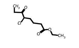 CCOC(=O)CCCC(Cl)C(=O)CC